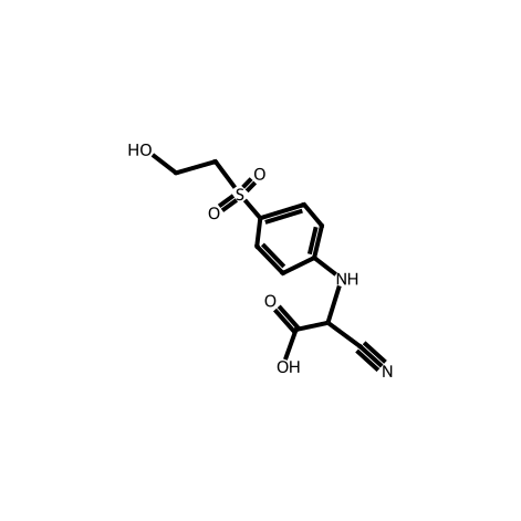 N#CC(Nc1ccc(S(=O)(=O)CCO)cc1)C(=O)O